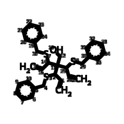 C=CC(SCc1ccccc1)C(CO)(C(C=C)SCc1ccccc1)C(C=C)SCc1ccccc1